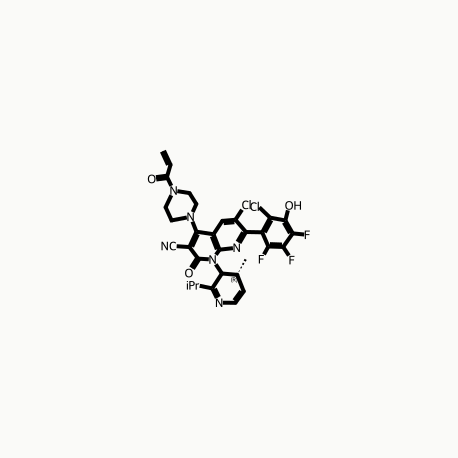 C=CC(=O)N1CCN(c2c(C#N)c(=O)n(C3C(C(C)C)=NC=C[C@H]3C)c3nc(-c4c(F)c(F)c(F)c(O)c4Cl)c(Cl)cc23)CC1